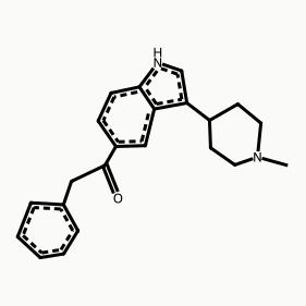 CN1CCC(c2c[nH]c3ccc(C(=O)Cc4ccccc4)cc23)CC1